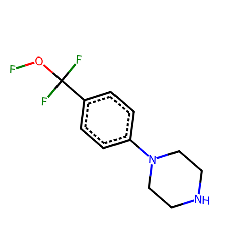 FOC(F)(F)c1ccc(N2CCNCC2)cc1